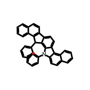 c1ccc(C2c3c(ccc4ccccc34)-c3ccc4c5c6ccccc6ccc5n(-c5ccccc5)c4c32)cc1